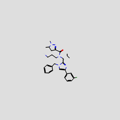 CC(C)[C@H](c1nc(-c2cccc(Cl)c2)cn1Cc1ccccc1)N(CCCN)C(=O)C1=NN(C)C(C)C1